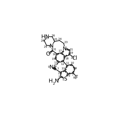 N#Cc1c(N)sc2c(F)ccc(-c3c(F)cc4c5c3c(Cl)cn5CCC3CNCCN3C4=O)c12